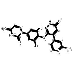 C=C1C=NN(c2cc(Cl)c(Oc3n[nH]c(=O)cc3-c3ccnc(C)c3)c(Cl)c2)C(=O)N1